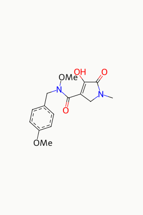 COc1ccc(CN(OC)C(=O)C2=C(O)C(=O)N(C)C2)cc1